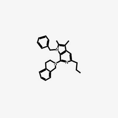 CCCc1cc2c(C)c(C)n(Cc3ccccc3)c2c(N2CCc3ccccc3C2)n1